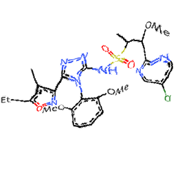 CCc1onc(-c2nnc(NS(=O)(=O)C(C)C(OC)c3ncc(Cl)cn3)n2-c2c(OC)cccc2OC)c1C